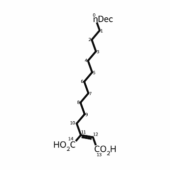 CCCCCCCCCCCCCCCCCCCCC(=CC(=O)O)C(=O)O